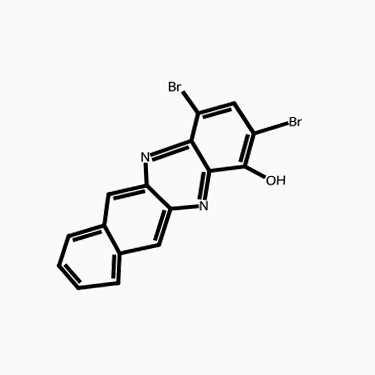 Oc1c(Br)cc(Br)c2nc3cc4ccccc4cc3nc12